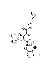 CCCCCNC(=O)c1cc2nc(Nc3c(Cl)cccc3Cl)[nH]c2c2c1OC(C)(C)C2